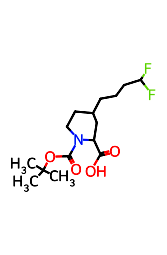 CC(C)(C)OC(=O)N1CCC(CCCC(F)F)CC1C(=O)O